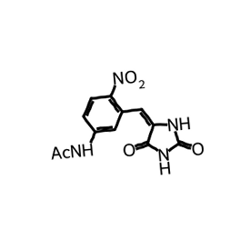 CC(=O)Nc1ccc([N+](=O)[O-])c(/C=C2/NC(=O)NC2=O)c1